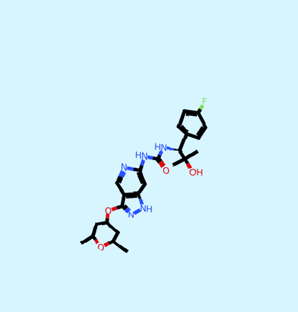 CC1CC(Oc2n[nH]c3cc(NC(=O)N[C@@H](c4ccc(F)cc4)C(C)(C)O)ncc23)CC(C)O1